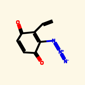 C=CC1=C(N=[N+]=[N-])C(=O)C=CC1=O